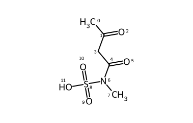 CC(=O)CC(=O)N(C)S(=O)(=O)O